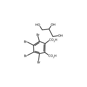 O=C(O)c1c(Br)c(Br)c(Br)c(Br)c1C(=O)O.OCC(O)CO